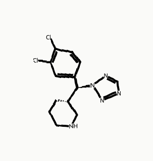 Clc1ccc([C@H]([C@H]2CCCNC2)n2ncnn2)cc1Cl